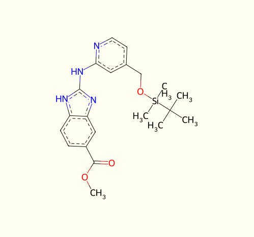 COC(=O)c1ccc2[nH]c(Nc3cc(CO[Si](C)(C)C(C)(C)C)ccn3)nc2c1